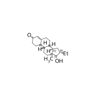 CC[C@@H]1C[C@H]2[C@@H]3CCC4=CC(=O)CC[C@@H]4[C@H]3CC[C@]2(C)[C@H]1O